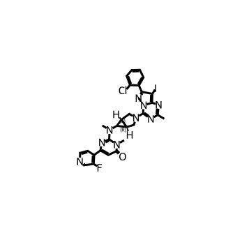 Cc1nc(N2C[C@@H]3C(N(C)c4nc(-c5ccncc5F)cc(=O)n4C)[C@@H]3C2)n2nc(-c3ccccc3Cl)c(I)c2n1